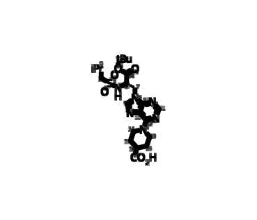 CC(C)CS(=O)(=O)N[C@@H](Cn1cnc2c(N3CCC(C(=O)O)CC3)ncnc21)C(=O)OC(C)(C)C